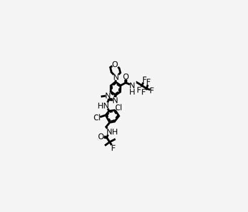 Cn1c(Nc2c(Cl)ccc(CNC(=O)C(C)(C)F)c2Cl)nc2cc(C(=O)NCC(F)(F)C(F)(F)F)c(N3CCOCC3)cc21